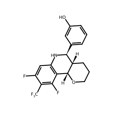 Oc1cccc([C@@H]2Nc3cc(F)c(C(F)(F)F)c(F)c3[C@H]3OCCC[C@H]32)c1